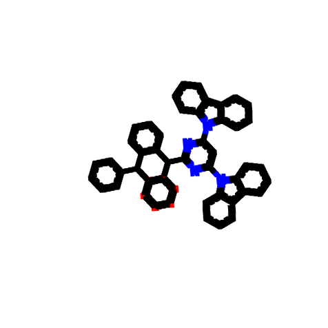 c1ccc(C23c4ccccc4C(c4nc(-n5c6ccccc6c6ccccc65)cc(-n5c6ccccc6c6ccccc65)n4)(c4ccccc42)c2ccccc23)cc1